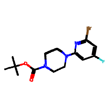 CC(C)(C)OC(=O)N1CCN(c2cc(F)cc(Br)n2)CC1